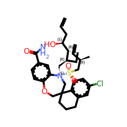 C=CC[C@H](O)[C@@H]1CC[C@H]1C[N@+]1(S(=O)(=O)C[C@H](C)C=C)CC2(CCCc3cc(Cl)ccc32)COc2ccc(C(N)=O)cc21